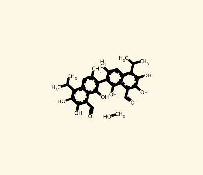 CO.Cc1cc2c(C(C)C)c(O)c(O)c(C=O)c2c(O)c1-c1c(C)cc2c(C(C)C)c(O)c(O)c(C=O)c2c1O